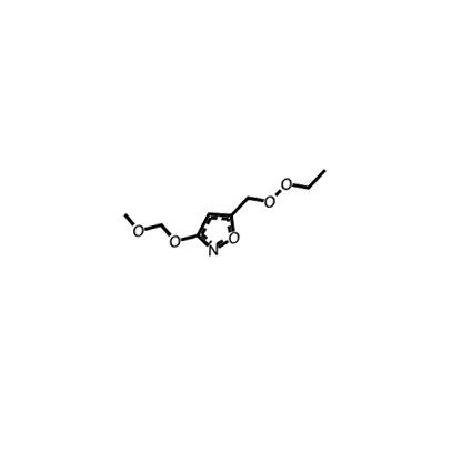 CCOOCc1cc(OCOC)no1